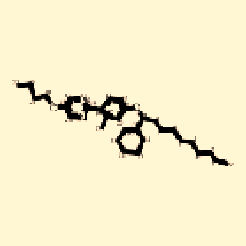 CCCCCCCCCC(Oc1ccc(-c2ncc(OCCCC)cn2)c(C)c1)C1CCCCC1